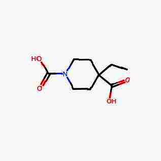 CCC1(C(=O)O)CCN(C(=O)O)CC1